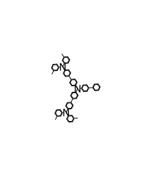 Cc1cccc(N(c2ccc(-c3ccc(N(c4ccc(-c5ccccc5)cc4)c4ccc(-c5ccc(N(c6cccc(C)c6)c6cccc(C)c6)cc5)cc4)cc3)cc2)c2cccc(C)c2)c1